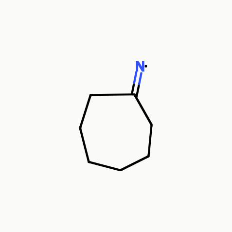 [N]=C1CCCCCC1